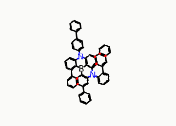 c1ccc(-c2ccc(N3c4cccc(-c5ccccc5)c4B4c5ccc(-c6ccccc6)cc5N(c5ccccc5-c5ccccc5)c5cc(-c6ccccc6)cc3c54)cc2)cc1